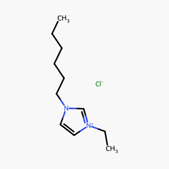 CCCCCCn1cc[n+](CC)c1.[Cl-]